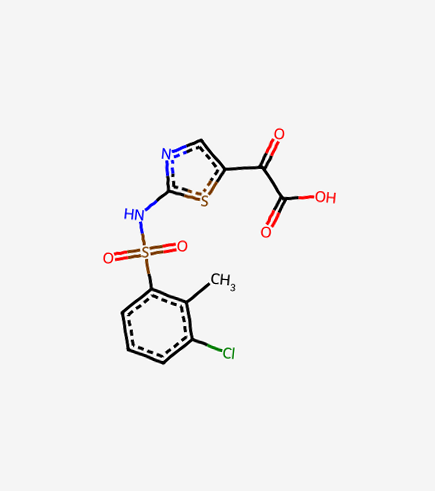 Cc1c(Cl)cccc1S(=O)(=O)Nc1ncc(C(=O)C(=O)O)s1